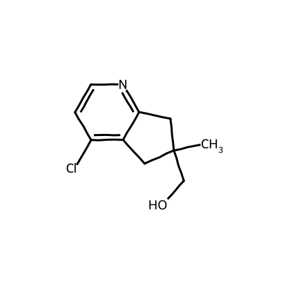 CC1(CO)Cc2nccc(Cl)c2C1